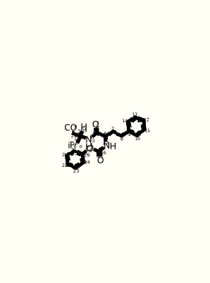 CC(C)C(C)(NC(=O)C(CCc1ccccc1)NC(=O)Oc1ccccc1)C(=O)O